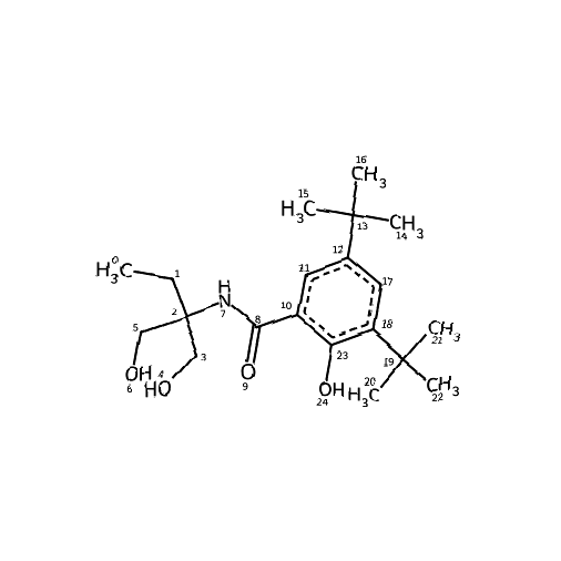 CCC(CO)(CO)NC(=O)c1cc(C(C)(C)C)cc(C(C)(C)C)c1O